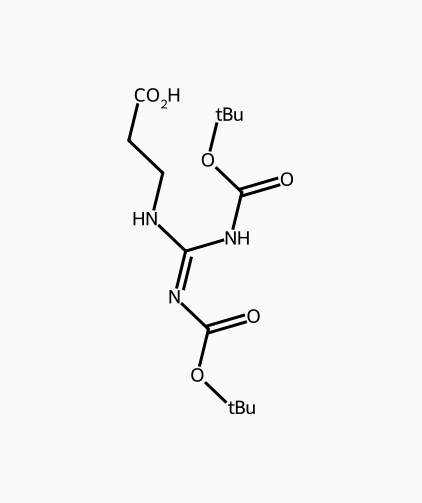 CC(C)(C)OC(=O)N=C(NCCC(=O)O)NC(=O)OC(C)(C)C